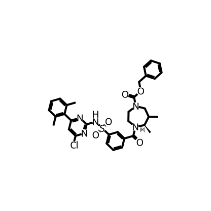 Cc1cccc(C)c1-c1cc(Cl)nc(NS(=O)(=O)c2cccc(C(=O)N3CCN(C(=O)OCc4ccccc4)CC(C)[C@H]3C)c2)n1